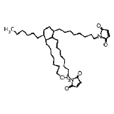 CCCCCCCCC1C(CCCCCC)CCC(CCCCCCCCN2C(=O)C=CC2=O)C1CCCCCCCCN1C(=O)C=CC1=O